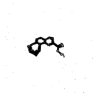 COC(=O)c1ccc2ccc3ncccc3c2n1